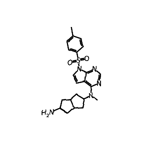 Cc1ccc(S(=O)(=O)n2ccc3c(N(C)C4CC5CC(N)CC5C4)ncnc32)cc1